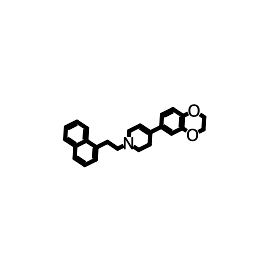 C1=C(c2ccc3c(c2)OCCO3)CCN(CCc2cccc3ccccc23)C1